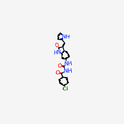 O=C(NC(=O)c1ccc(Cl)cc1)Nc1ccc2c(c1)NC(=O)/C2=C\c1ccc[nH]1